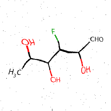 CC(O)C(O)C(F)C(O)C=O